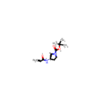 C=CC(=O)N[C@H]1CCN(C(=O)OC(C)(C)C)C1